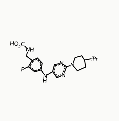 CC(C)C1CCN(c2ncc(Nc3ccc(CNC(=O)O)c(F)c3)cn2)CC1